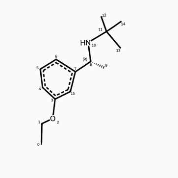 CCOc1cccc([C@@H](C)NC(C)(C)C)c1